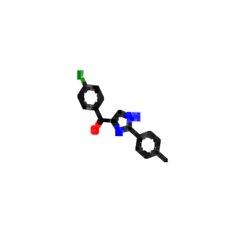 Cc1ccc(-c2nc(C(=O)c3ccc(F)cc3)c[nH]2)cc1